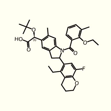 CCOc1c(C)cccc1C(=O)N1c2cc(C)c([C@H](OC(C)(C)C)C(=O)O)cc2CC1c1cc(F)c2c(c1CC)CCCO2